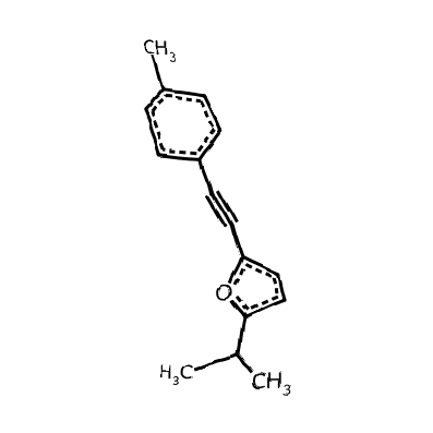 Cc1ccc(C#Cc2ccc(C(C)C)o2)cc1